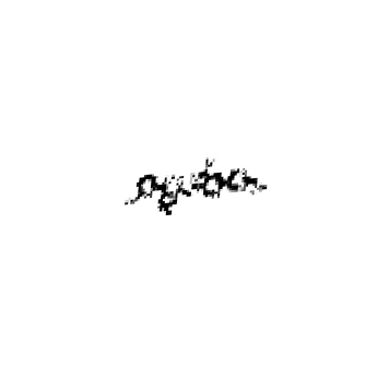 CC(=O)c1nn(CC(=O)N2CC(C)(C)CC2C(=O)c2cccc(Br)n2)c2cnc(-c3cnc(CN(C)C)nc3)cc12